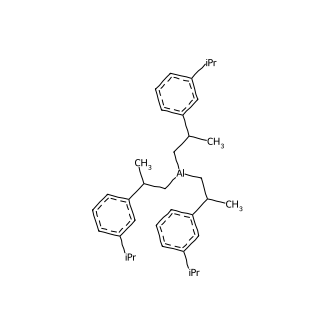 CC(C)c1cccc(C(C)[CH2][Al]([CH2]C(C)c2cccc(C(C)C)c2)[CH2]C(C)c2cccc(C(C)C)c2)c1